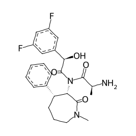 C[C@H](N)C(=O)N(C(=O)[C@H](O)c1cc(F)cc(F)c1)[C@@H]1C(=O)N(C)CCC[C@@H]1c1ccccc1